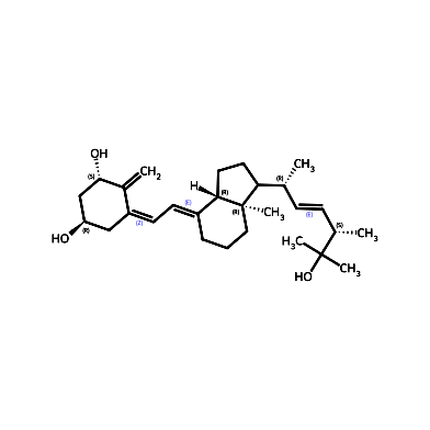 C=C1/C(=C\C=C2/CCC[C@]3(C)C([C@H](C)/C=C/[C@H](C)C(C)(C)O)CC[C@@H]23)C[C@@H](O)C[C@@H]1O